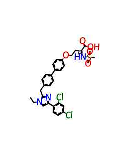 CCn1cc(-c2ccc(Cl)cc2Cl)nc1Cc1ccc(-c2ccc(OCC[C@H](NS(C)(=O)=O)C(=O)O)cc2)cc1